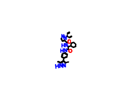 C=CC(C=C)n1nccc1C(=O)N[C@H](C(=O)Nc1ccc(-c2c(C)n[nH]c2C)cc1)C1CCCCC1